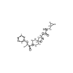 CC(Oc1ccccc1)C(=O)N1CCC2(CC1)CC(OC(=O)NCC1CC1)=NO2